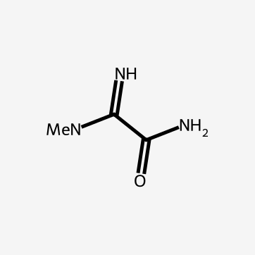 CNC(=N)C(N)=O